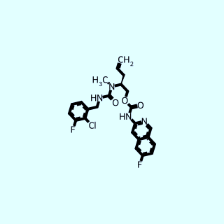 C=CC[C@@H](COC(=O)Nc1cc2cc(F)ccc2cn1)N(C)C(=O)NCc1cccc(F)c1Cl